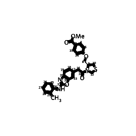 COC(=O)c1ccc(OC[C@@H]2CSCN2C(=O)Cc2ccc3nc(Nc4ccccc4C)oc3c2)cc1